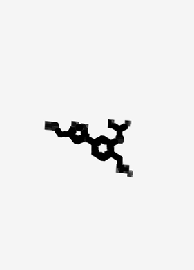 NCc1ccc(-n2cc(CO)nn2)cc1OC(F)F